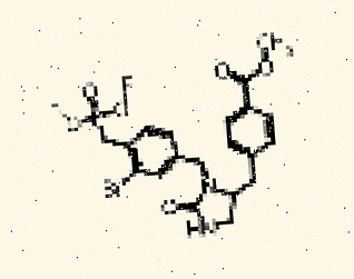 COC(=O)c1ccc(CC2CNC(=O)N2Cc2ccc(CP(=O)(OF)OF)c(Br)c2)cc1